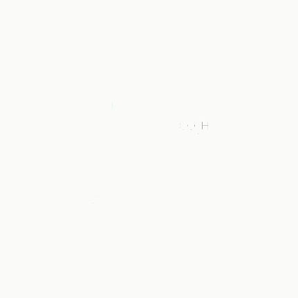 O=C(O)C=C(CCc1ccc(Cl)cc1)c1cccc(F)c1